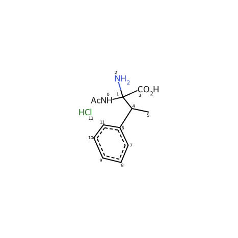 CC(=O)NC(N)(C(=O)O)C(C)c1ccccc1.Cl